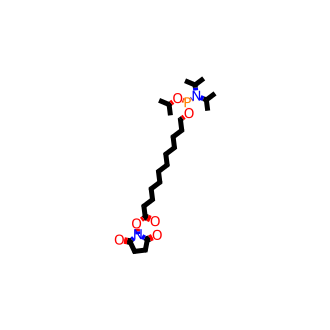 CC(C)OP(OCCCCCCCCCCCC(=O)ON1C(=O)CCC1=O)N(C(C)C)C(C)C